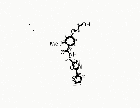 COc1cc(OCCO)ccc1C(=O)NCc1nnc(-c2cccs2)o1